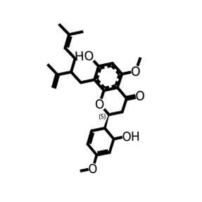 C=C(C)C(CC=C(C)C)Cc1c(O)cc(OC)c2c1O[C@H](C1C=CC(OC)=CC1O)CC2=O